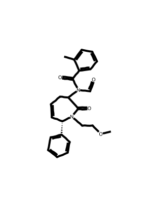 COCCN1C(=O)C(N(C=O)C(=O)c2ccccc2C)CC=C[C@H]1c1ccccc1